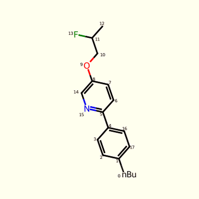 CCCCc1ccc(-c2ccc(OCC(C)F)cn2)cc1